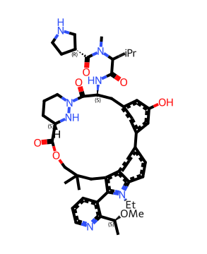 CCn1c(-c2cccnc2[C@H](C)OC)c2c3cc(ccc31)-c1cc(O)cc(c1)C[C@H](NC(=O)C(C(C)C)N(C)C(=O)[C@@H]1CCNC1)C(=O)N1CCC[C@H](N1)C(=O)OCC(C)(C)C2